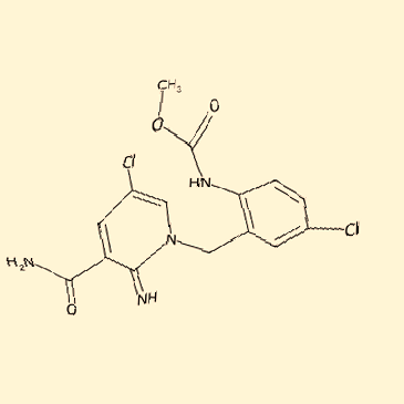 COC(=O)Nc1ccc(Cl)cc1Cn1cc(Cl)cc(C(N)=O)c1=N